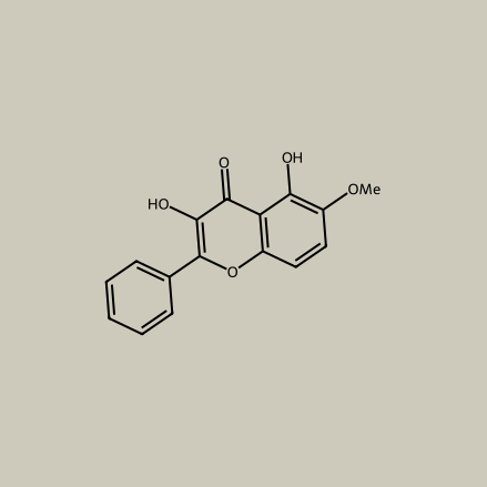 COc1ccc2oc(-c3ccccc3)c(O)c(=O)c2c1O